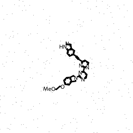 COCCOc1ccc2c(c1)CN(c1nccc(-c3nccc(C#Cc4ccc5[nH]ncc5c4)n3)n1)C2